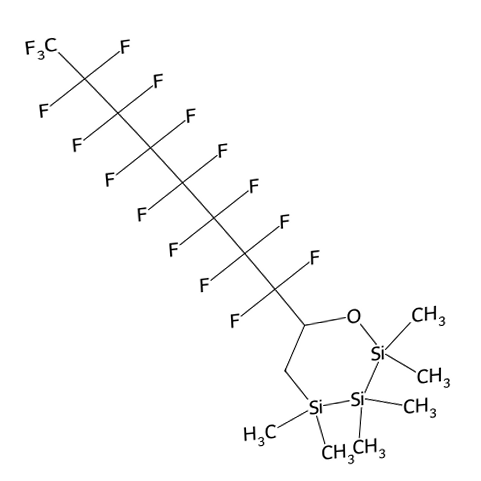 C[Si]1(C)CC(C(F)(F)C(F)(F)C(F)(F)C(F)(F)C(F)(F)C(F)(F)C(F)(F)C(F)(F)F)O[Si](C)(C)[Si]1(C)C